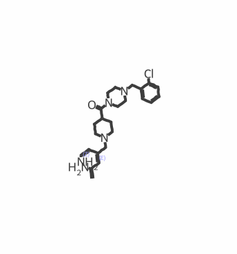 C=C(N)/C=C(\C=C/N)CN1CCC(C(=O)N2CCN(Cc3ccccc3Cl)CC2)CC1